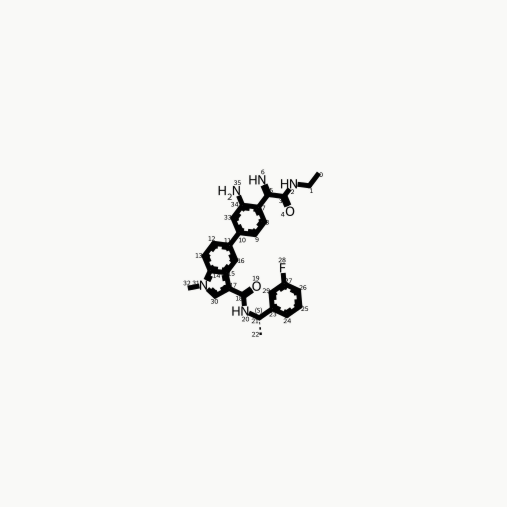 CCNC(=O)C(=N)c1ccc(-c2ccc3c(c2)c(C(=O)N[C@@H](C)c2cccc(F)c2)cn3C)cc1N